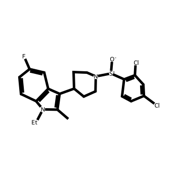 CCn1c(C)c(C2CCN([S+]([O-])c3ccc(Cl)cc3Cl)CC2)c2cc(F)ccc21